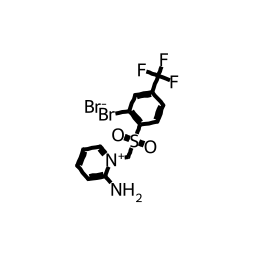 Nc1cccc[n+]1CS(=O)(=O)c1ccc(C(F)(F)F)cc1Br.[Br-]